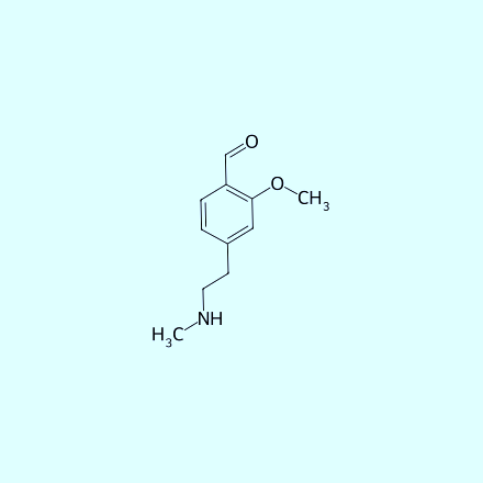 CNCCc1ccc(C=O)c(OC)c1